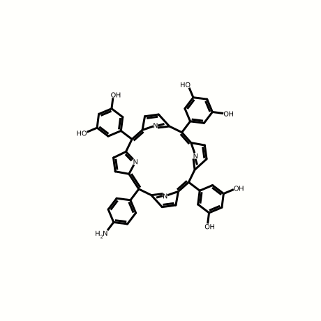 Nc1ccc(C2=C3C=CC(=N3)C(c3cc(O)cc(O)c3)=C3C=CC(=N3)C(c3cc(O)cc(O)c3)=C3C=CC(=N3)C(c3cc(O)cc(O)c3)=C3C=CC2=N3)cc1